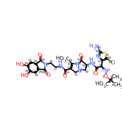 CC(C)(O/N=C(\C(=O)N[C@H]1CN2CC(C(=O)NCCN3C(=O)c4cc(O)c(O)cc4C3=O)=C(C(=O)O)N2C1=O)c1nc(N)sc1Cl)C(=O)O